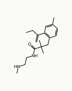 C=C(CC)c1cc(C)ccc1CC(C)(C)C(=O)NCCNC